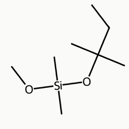 CCC(C)(C)O[Si](C)(C)OC